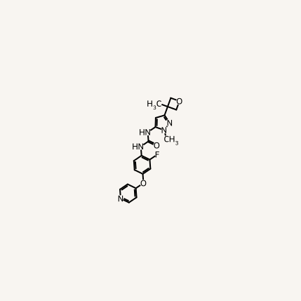 Cn1nc(C2(C)COC2)cc1NC(=O)Nc1ccc(Oc2ccncc2)cc1F